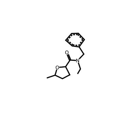 CCN(Cc1ccccc1)C(=O)C1CCC(C)O1